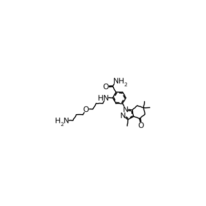 Cc1nn(-c2ccc(C(N)=O)c(NCCCOCCCN)c2)c2c1C(=O)CC(C)(C)C2